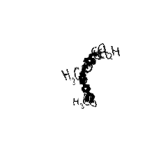 CCO[C@@H](Cc1ccc(OCc2sc(-c3ccc(C4=NN(C)C(=O)CC4)cc3)cc2C)cc1)C(=O)O